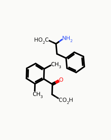 Cc1cccc(C)c1C(=O)CC(=O)O.NC(Cc1ccccc1)C(=O)O